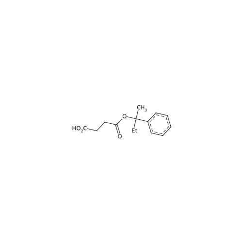 CCC(C)(OC(=O)CCC(=O)O)c1ccccc1